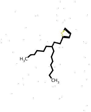 CCCCCCCC(CCCCCC)CCc1cccs1